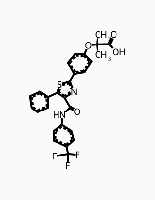 CC(C)(Oc1ccc(-c2nc(C(=O)Nc3ccc(C(F)(F)F)cc3)c(-c3ccccc3)s2)cc1)C(=O)O